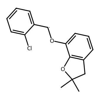 CC1(C)Cc2cccc(O[CH]c3ccccc3Cl)c2O1